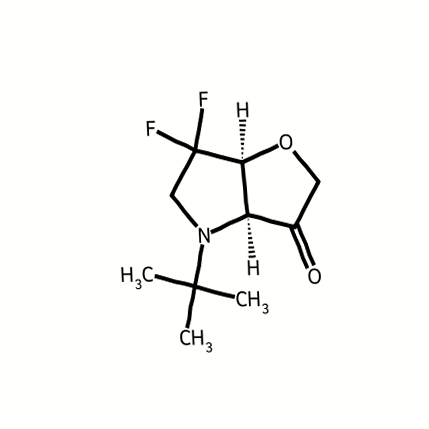 CC(C)(C)N1CC(F)(F)[C@H]2OCC(=O)[C@H]21